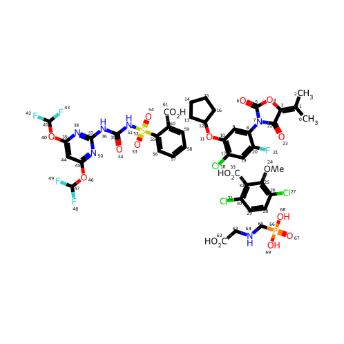 CC(C)=C1OC(=O)N(c2cc(OC3CCCC3)c(Cl)cc2F)C1=O.COc1c(Cl)ccc(Cl)c1C(=O)O.O=C(Nc1nc(OC(F)F)cc(OC(F)F)n1)NS(=O)(=O)c1ccccc1C(=O)O.O=C(O)CNCP(=O)(O)O